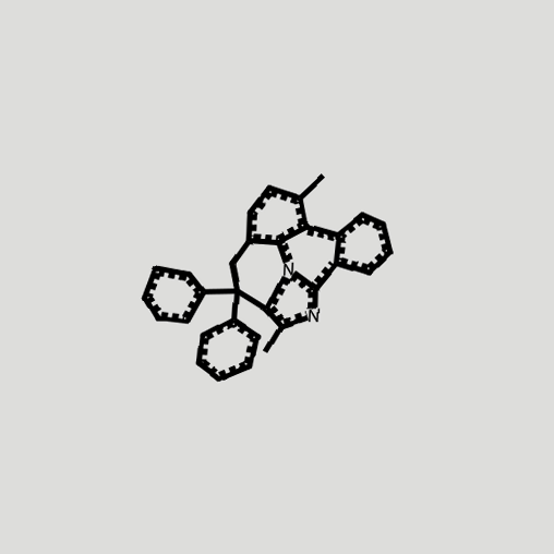 Cc1nc2c3ccccc3c3c(C)ccc4c3n2c1C(c1ccccc1)(c1ccccc1)C4